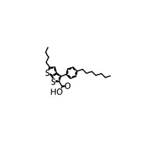 CCCCCCCc1ccc(-c2c(C(=O)O)sc3sc(CCCC)cc23)cc1